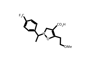 COCCC1=C(C(=O)O)CN(C(C)c2ccc(C(F)(F)F)cc2)O1